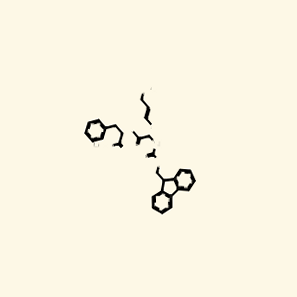 COC(=O)[C@@H](CC(=O)[C@H](C/C=C/COC(C)=O)NC(=O)OCC1c2ccccc2-c2ccccc21)Cc1ccccc1